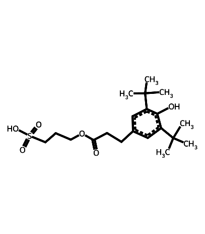 CC(C)(C)c1cc(CCC(=O)OCCCS(=O)(=O)O)cc(C(C)(C)C)c1O